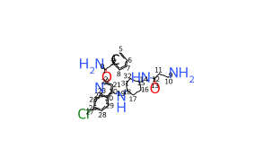 NC(=O)c1ccccc1.NCCC(=O)N[C@H]1CC[C@@H](Nc2ccnc3cc(Cl)ccc23)CC1